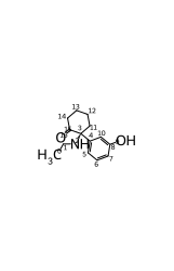 CCN[C@]1(c2cccc(O)c2)CCCCC1=O